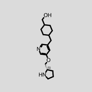 OCC1CCC(Cc2cncc(OC[C@@H]3CCCN3)c2)CC1